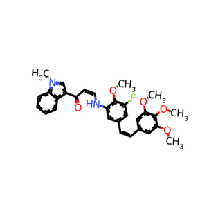 COc1cc(/C=C\c2cc(F)c(OC)c(N/C=C\C(=O)c3cn(C)c4ccccc34)c2)cc(OC)c1OC